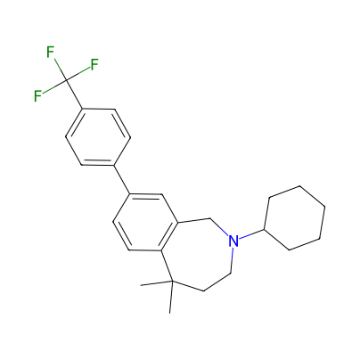 CC1(C)CCN(C2CCCCC2)Cc2cc(-c3ccc(C(F)(F)F)cc3)ccc21